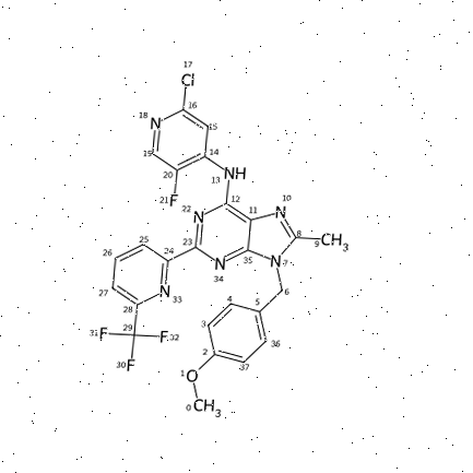 COc1ccc(Cn2c(C)nc3c(Nc4cc(Cl)ncc4F)nc(-c4cccc(C(F)(F)F)n4)nc32)cc1